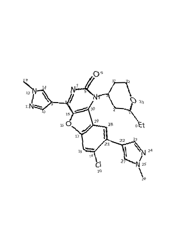 CCC1CC(n2c(=O)nc(-c3cnn(C)c3)c3oc4cc(Cl)c(-c5cnn(C)c5)cc4c32)CCO1